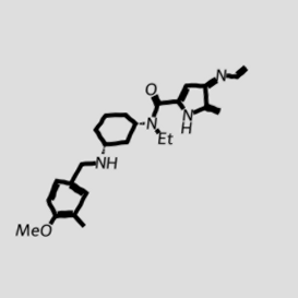 C=C/N=C1/C=C(C(=O)N(CC)[C@H]2CCC[C@@H](NCc3ccc(OC)c(C)c3)C2)NC1=C